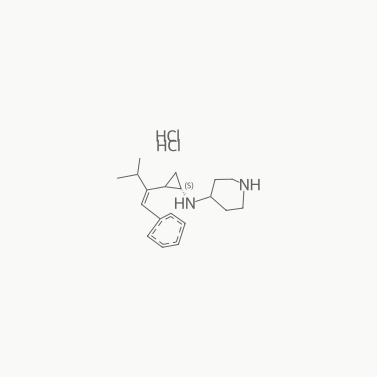 CC(C)C(=Cc1ccccc1)C1C[C@@H]1NC1CCNCC1.Cl.Cl